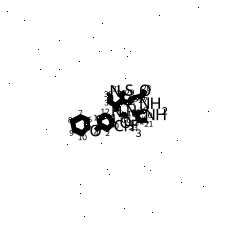 Cc1cc(Oc2ccccc2)ccc1N1C(=O)N([C@H]2CNC[C@@H]2F)c2c(C(N)=O)sc3nccc1c23